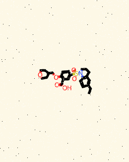 CCc1ccc2c(c1)CCCN2S(=O)(=O)c1ccc(OCC2CCOCC2)c(C(=O)O)c1